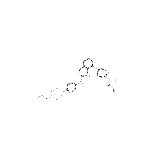 C=CC(=O)Nc1ccc(-c2cccc3cnc(Nc4ccc(N5CCN(CCF)CC5)nc4)nc23)cn1